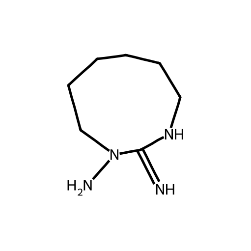 N=C1NCCCCCCN1N